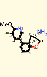 COc1ncc(-c2cccc3c2C[C@H](N)CO3)cc1F